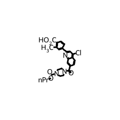 CCCOC(=O)N1CCN(C(=O)c2ccc3c(Cl)cc(-c4ccc(C(=O)O)c(C)c4)nc3c2)CC1